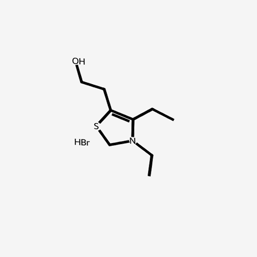 Br.CCC1=C(CCO)SCN1CC